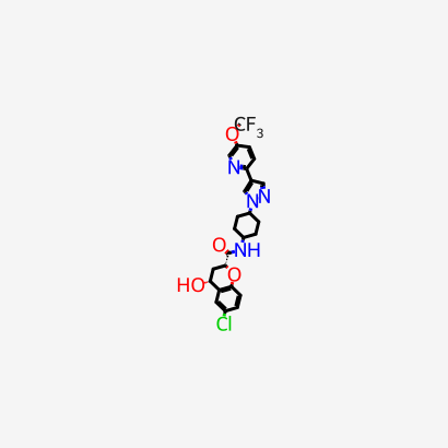 O=C(NC1CCC(n2cc(-c3ccc(OC(F)(F)F)cn3)cn2)CC1)[C@H]1C[C@@H](O)c2cc(Cl)ccc2O1